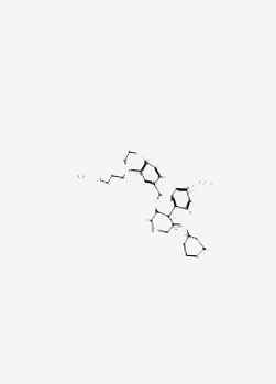 COCCCN1CCOc2ccc(COC3CNCC(OC4CCCCC4)C3c3ccc(OC)cc3)cc21